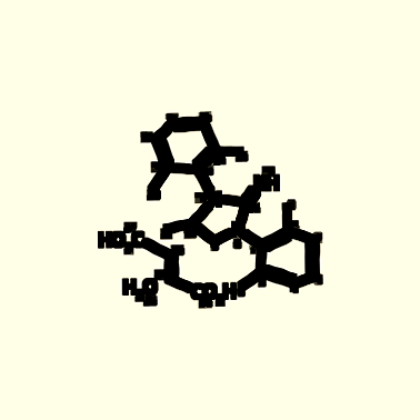 Cc1cccc(C)c1N1CC(C)N(c2c(C)cccc2C)C1=N.O.O=C(O)/C=C/C(=O)O